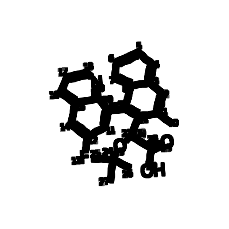 Cc1cc2ccccc2c(-c2cc(F)cc3cccnc23)c1[C@H](OC(C)(C)C)C(=O)O